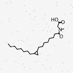 CCCCCCCCC1CC1CCCCCCCC(=O)N(C)CC(=O)O